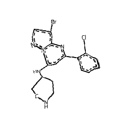 Clc1ccccc1-c1cc(NC2CCNCC2)n2ncc(Br)c2n1